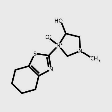 CN1CC(O)[N+]([O-])(c2nc3c(s2)CCCC3)C1